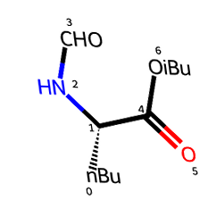 CCCC[C@H](NC=O)C(=O)OCC(C)C